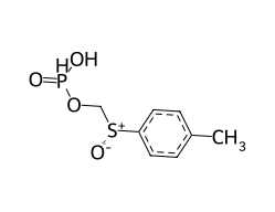 Cc1ccc([S@+]([O-])CO[PH](=O)O)cc1